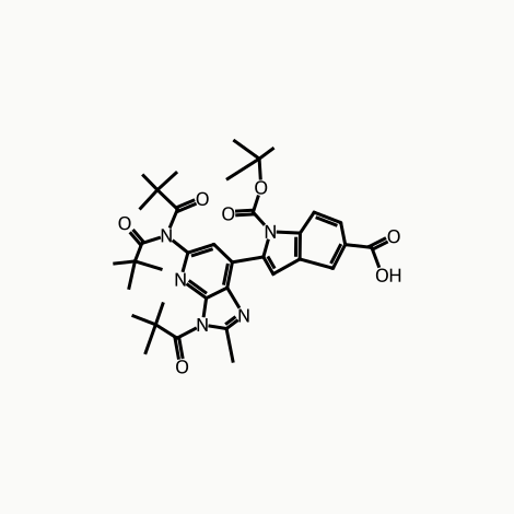 Cc1nc2c(-c3cc4cc(C(=O)O)ccc4n3C(=O)OC(C)(C)C)cc(N(C(=O)C(C)(C)C)C(=O)C(C)(C)C)nc2n1C(=O)C(C)(C)C